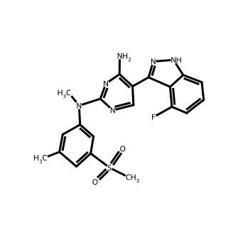 Cc1cc(N(C)c2ncc(-c3n[nH]c4cccc(F)c34)c(N)n2)cc(S(C)(=O)=O)c1